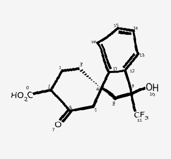 O=C(O)C1CC[C@@]2(CC1=O)CC(O)(C(F)(F)F)c1ccccc12